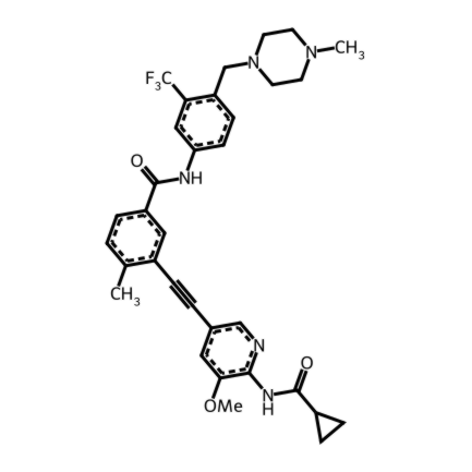 COc1cc(C#Cc2cc(C(=O)Nc3ccc(CN4CCN(C)CC4)c(C(F)(F)F)c3)ccc2C)cnc1NC(=O)C1CC1